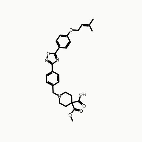 COC(=O)C1(C(=O)O)CCN(Cc2ccc(-c3noc(-c4ccc(OCC=C(C)C)cc4)n3)cc2)CC1